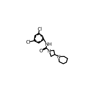 O=C(Nc1cc(Cl)cc(Cl)c1)N1CC(N2CCCCC2)C1